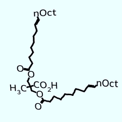 CCCCCCCCC=CCCCCCCCC(=O)OCC(C)(COC(=O)CCCCCCCC=CCCCCCCCC)C(=O)O